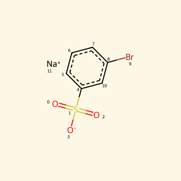 O=S(=O)([O-])c1cccc(Br)c1.[Na+]